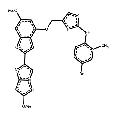 COc1cc(OCc2csc(Nc3ccc(Br)cc3C)n2)c2cc(-c3cn4nc(OC)sc4n3)oc2c1